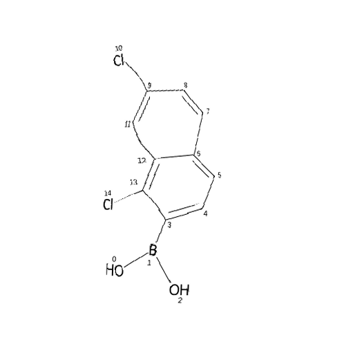 OB(O)c1ccc2ccc(Cl)cc2c1Cl